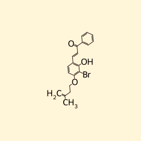 C=C(C)CCOc1ccc(C=CC(=O)c2ccccc2)c(O)c1Br